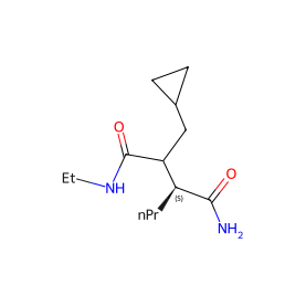 CCC[C@H](C(N)=O)C(CC1CC1)C(=O)NCC